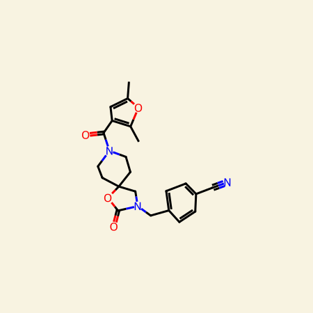 Cc1cc(C(=O)N2CCC3(CC2)CN(Cc2ccc(C#N)cc2)C(=O)O3)c(C)o1